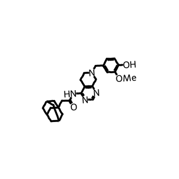 COc1cc(CN2CCc3c(ncnc3NC(=O)CC34CC5CC(CC(C5)C3)C4)C2)ccc1O